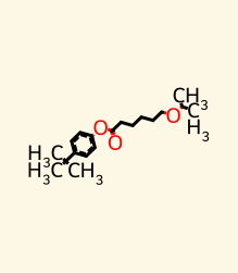 CC(C)OCCCCCC(=O)Oc1ccc(C(C)(C)C)cc1